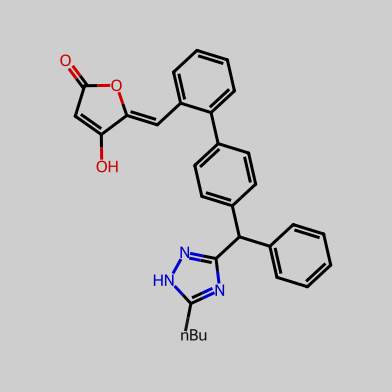 CCCCc1nc(C(c2ccccc2)c2ccc(-c3ccccc3/C=C3\OC(=O)C=C3O)cc2)n[nH]1